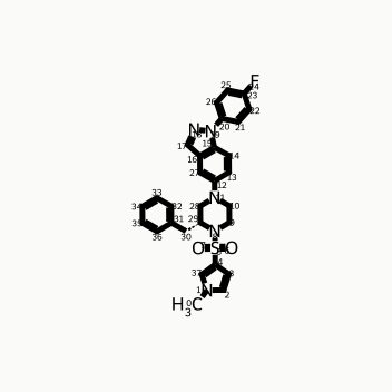 Cn1ccc(S(=O)(=O)N2CCN(c3ccc4c(cnn4-c4ccc(F)cc4)c3)C[C@H]2Cc2ccccc2)c1